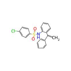 C=C(c1ccccc1)c1ccccc1NS(=O)(=O)c1ccc(Cl)cc1